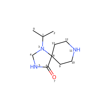 CC(C)N1CNC(=O)C12CCNCC2